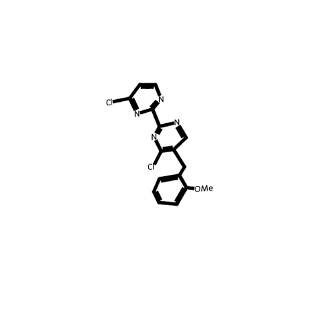 COc1ccccc1Cc1cnc(-c2nccc(Cl)n2)nc1Cl